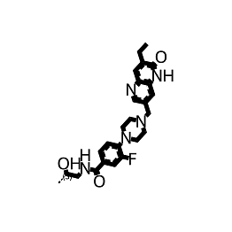 CCc1cc2ncc(CN3CCN(c4ccc(C(=O)NC[C@H](C)O)cc4F)CC3)cc2[nH]c1=O